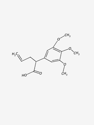 C=CCC(C(=O)O)c1cc(OC)c(OC)c(OC)c1